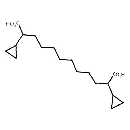 O=C(O)C(CCCCCCCCC(C(=O)O)C1CC1)C1CC1